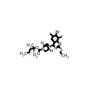 CCCC(C)(C)OC(=O)N1C[C@@H]2C[C@H]1CN2c1nc(SCC)nc2c(F)c(Br)c(I)cc12